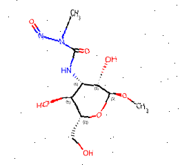 CO[C@H]1O[C@H](CO)[C@@H](O)[C@H](NC(=O)N(C)N=O)[C@@H]1O